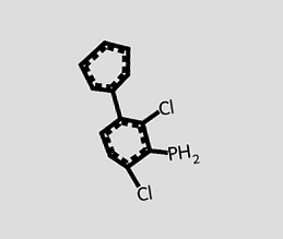 Pc1c(Cl)ccc(-c2ccccc2)c1Cl